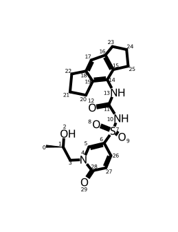 C[C@@H](O)Cn1cc(S(=O)(=O)NC(=O)Nc2c3c(cc4c2CCC4)CCC3)ccc1=O